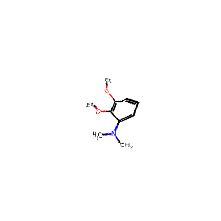 CCOc1cccc(N(C)C)c1OCC